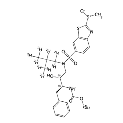 [2H]C([2H])([2H])C([2H])(C([2H])([2H])[2H])C([2H])([2H])N(C[C@@H](O)[C@H](Cc1ccccc1)NC(=O)OC(C)(C)C)S(=O)(=O)c1ccc2nc([S+](C)[O-])sc2c1